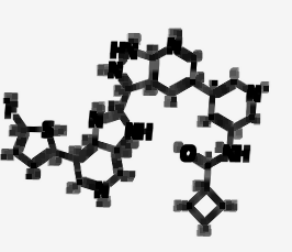 O=C(Nc1cncc(-c2cnc3[nH]nc(-c4nc5c(-c6ccc(F)s6)cncc5[nH]4)c3c2)c1)C1CCC1